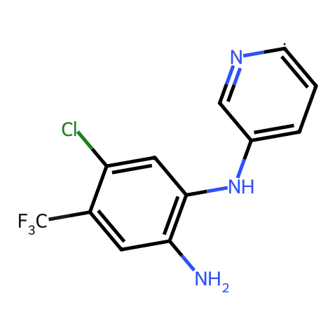 Nc1cc(C(F)(F)F)c(Cl)cc1Nc1cc[c]nc1